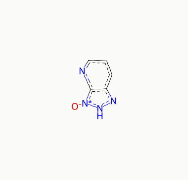 [O-][n+]1[nH]nc2cccnc21